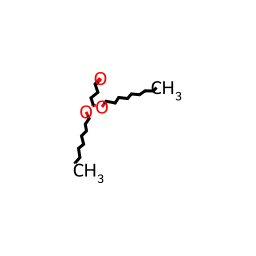 CCCCCCCCCOC(CCC=O)OCCCCCCCCC